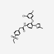 CCS(=O)(=O)c1ccc(CC(=O)Nc2ccc(-n3ccc(C)n3)c(Oc3cc(F)cc(Cl)c3)c2)cc1